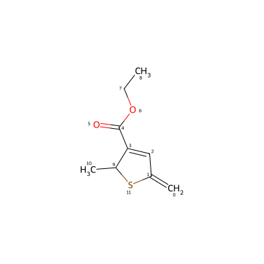 C=C1C=C(C(=O)OCC)C(C)S1